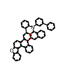 c1ccc(-c2cccc(N(c3ccccc3-c3ccc4c5ccccc5c5c(ccc6oc7ccccc7c65)c4c3)c3cccc4ccccc34)c2)cc1